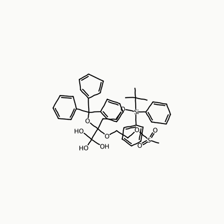 CC(C)(C)[Si](OCCC(OCCOS(C)(=O)=O)(OC(c1ccccc1)(c1ccccc1)c1ccccc1)C(O)(O)O)(c1ccccc1)c1ccccc1